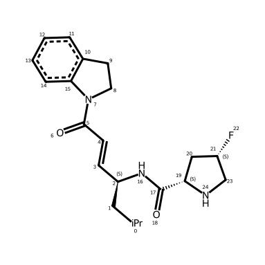 CC(C)C[C@@H](C=CC(=O)N1CCc2ccccc21)NC(=O)[C@@H]1C[C@H](F)CN1